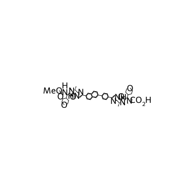 COC(=O)N[C@H](C(=O)N(C)[C@@H](C)c1nc(-c2ccc3cc(-c4ccc(-c5c[nH]c([C@H](C)N(C)C(=O)[C@H](C6CCOCC6)N(C)C(=O)O)n5)cc4)ccc3c2)c[nH]1)C1CCOCC1